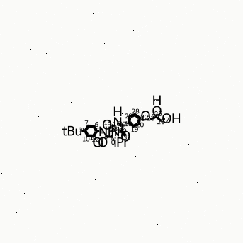 CC(C)[C@@H](C(=O)Nc1ccc(C(C)(C)C)cc1Cl)N1C(=O)N[C@H](c2ccc(OC[C@H](O)CO)cc2)C1=O